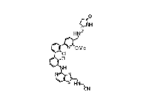 COc1nc(-c2cccc(-c3cccc(Nc4nccc5sc(CNCC#N)nc45)c3Cl)c2Cl)ccc1CNC[C@@H]1CCC(=O)N1